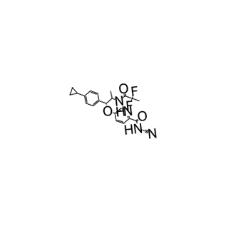 CC(NC(=O)C(C)(F)F)[C@H](Oc1ccc(C(=O)NC#N)nc1)c1ccc(C2CC2)cc1